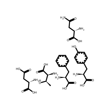 C[C@@H](O)[C@H](N)C(=O)O.NC(=O)C[C@H](N)C(=O)O.N[C@@H](CC(=O)O)C(=O)O.N[C@@H](Cc1ccc(O)cc1)C(=O)O.N[C@@H](Cc1ccccc1)C(=O)O